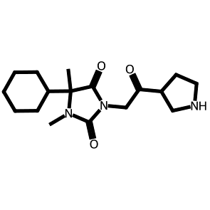 CN1C(=O)N(CC(=O)C2CCNC2)C(=O)C1(C)C1CCCCC1